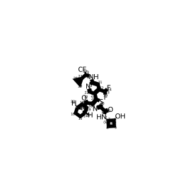 O=C(N[C@H]1CC[C@@H]1O)c1nc(C(=O)N2[C@H]3CC[C@H]2CC3)c(-c2cnc(N[C@@H](C3CC3)C(F)(F)F)cc2C(F)F)s1